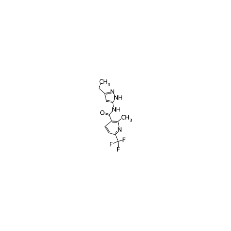 CCc1cc(NC(=O)c2ccc(C(F)(F)F)nc2C)[nH]n1